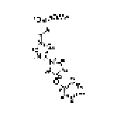 COC(=O)CCc1cnc(N2CC[C@H](Oc3cccnc3)C2)s1